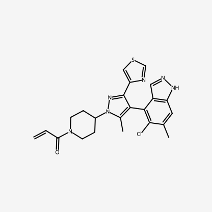 C=CC(=O)N1CCC(n2nc(-c3cscn3)c(-c3c(Cl)c(C)cc4[nH]ncc34)c2C)CC1